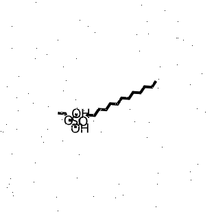 CCCCCCCCCCCCCO[Si](O)(O)OCC